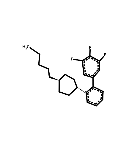 CCCCC[C@H]1CC[C@H](c2ccccc2-c2cc(F)c(F)c(F)c2)CC1